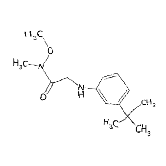 CON(C)C(=O)CNc1cccc(C(C)(C)C)c1